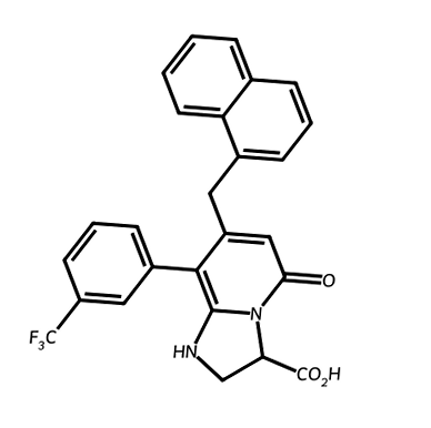 O=C(O)C1CNc2c(-c3cccc(C(F)(F)F)c3)c(Cc3cccc4ccccc34)cc(=O)n21